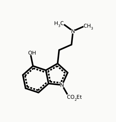 CCOC(=O)n1cc(CCN(C)C)c2c(O)cccc21